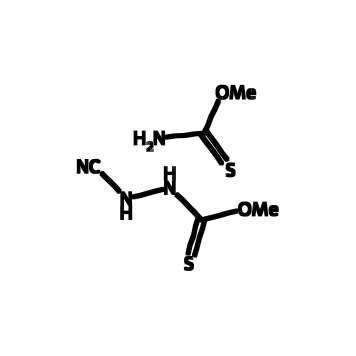 COC(=S)NNC#N.COC(N)=S